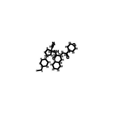 CC[C@H]1CC[C@H](N2CC[C@](C#N)(NC(=O)[C@@H](CC(=O)N3CCOCC3)CC3CCCCC3)C2)CC1